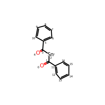 O=[C]([Sn][C](=O)c1ccccc1)c1ccccc1